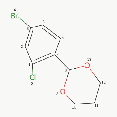 Clc1cc(Br)ccc1C1OCCCO1